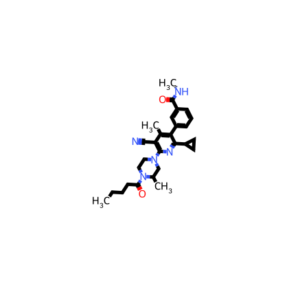 CCCCC(=O)N1CCN(c2nc(C3CC3)c(-c3cccc(C(=O)NC)c3)c(C)c2C#N)CC1C